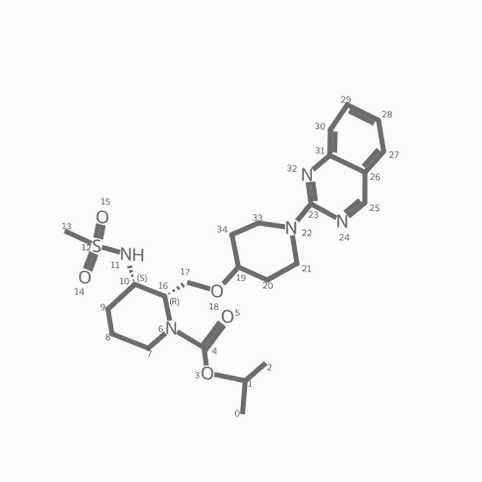 CC(C)OC(=O)N1CCC[C@H](NS(C)(=O)=O)[C@@H]1COC1CCN(c2ncc3ccccc3n2)CC1